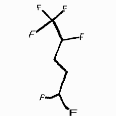 F[C](F)CCC(F)C(F)(F)F